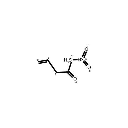 C=CCC(=O)[SiH2][SH](=O)=O